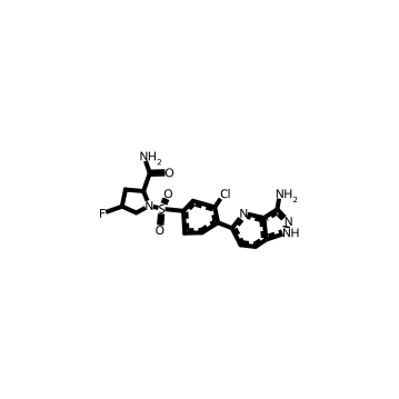 NC(=O)C1CC(F)CN1S(=O)(=O)c1ccc(-c2ccc3[nH]nc(N)c3n2)c(Cl)c1